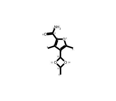 Cc1oc(C(N)=O)c(C)c1C1OC(C)O1